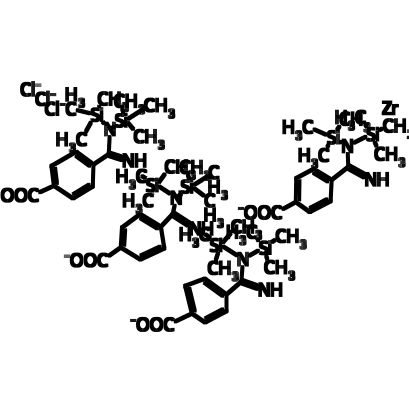 C[Si](C)(C)N(C(=N)c1ccc(C(=O)[O-])cc1)[Si](C)(C)C.C[Si](C)(C)N(C(=N)c1ccc(C(=O)[O-])cc1)[Si](C)(C)C.C[Si](C)(C)N(C(=N)c1ccc(C(=O)[O-])cc1)[Si](C)(C)C.C[Si](C)(C)N(C(=N)c1ccc(C(=O)[O-])cc1)[Si](C)(C)C.[Cl-].[Cl-].[Cl-].[Zr]